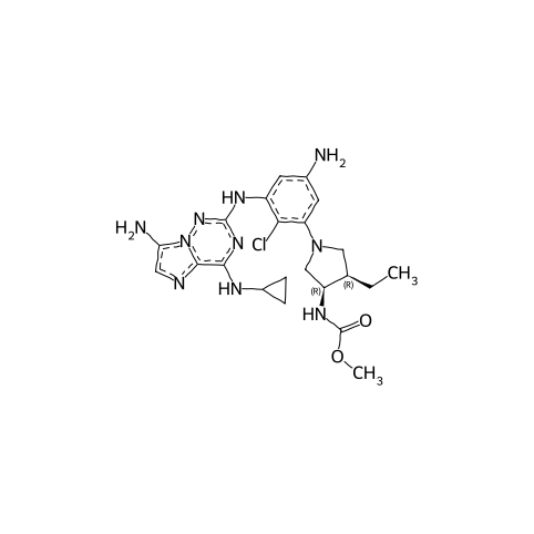 CC[C@@H]1CN(c2cc(N)cc(Nc3nc(NC4CC4)c4ncc(N)n4n3)c2Cl)C[C@@H]1NC(=O)OC